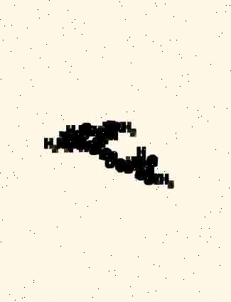 B[P@@]1(=O)OC[C@H]2O[C@@H](n3cnc4c(N)ccnc43)[C@H](F)[C@@H]2O[P@@](=O)(SCc2ccc(OC(=O)c3ccc(OCCN4NNC5=C4c4ccccc4N(C(=O)CC)Cc4ccccc45)cc3)cc2)OC[C@H]2O[C@@H](n3cnc4c(N)ncnc43)[C@H](F)[C@@H]2O1